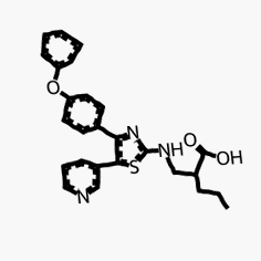 CCCC(CNc1nc(-c2ccc(Oc3ccccc3)cc2)c(-c2cccnc2)s1)C(=O)O